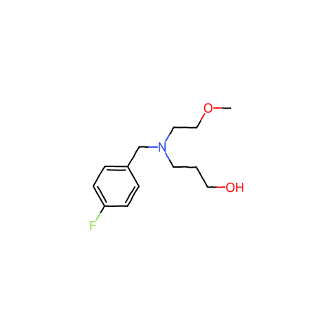 COCCN(CCCO)Cc1ccc(F)cc1